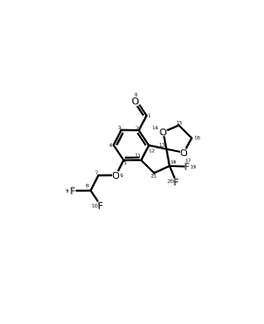 O=Cc1ccc(OCC(F)F)c2c1C1(OCCO1)C(F)(F)C2